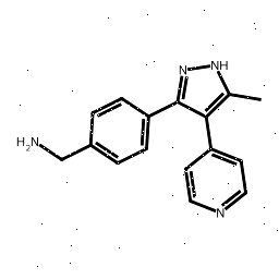 Cc1[nH]nc(-c2ccc(CN)cc2)c1-c1ccncc1